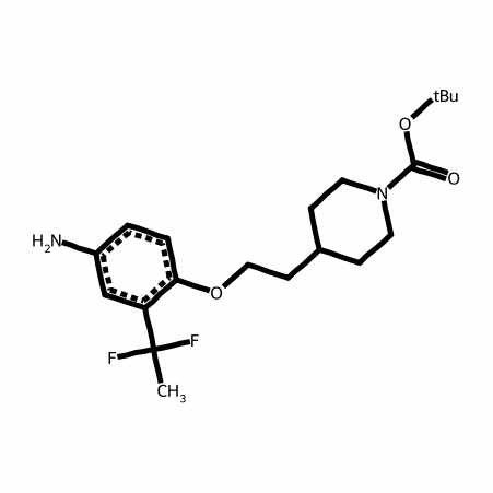 CC(C)(C)OC(=O)N1CCC(CCOc2ccc(N)cc2C(C)(F)F)CC1